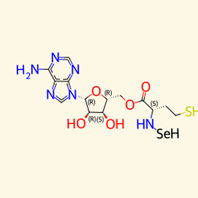 Nc1ncnc2c1ncn2[C@@H]1O[C@H](COC(=O)[C@H](CCS)N[SeH])[C@@H](O)[C@H]1O